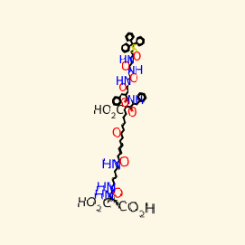 O=C(O)CC[C@H](NC(=O)NCCCCCNC(=O)CCCCCCC(=O)CCCCCC(CC(=O)C(Cc1ccccc1)NC(=O)C(CC(=O)CNC(=O)CNC(=O)CNC(=O)CSC(c1ccccc1)(c1ccccc1)c1ccccc1)Cc1ccccc1)C(=O)O)C(=O)O